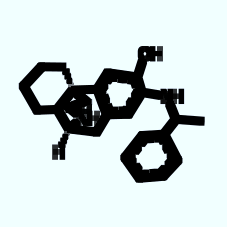 CC(Nc1cc2c(cc1O)[C@]13CCCC[C@@H]1[C@H](C2)NCC3)c1ccccc1